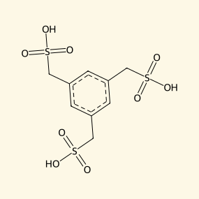 O=S(=O)(O)Cc1cc(CS(=O)(=O)O)cc(CS(=O)(=O)O)c1